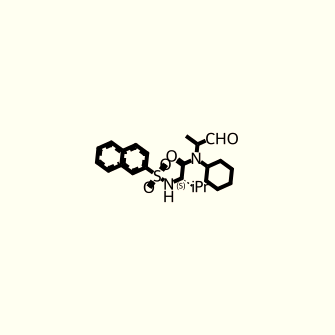 CC(C)[C@H](NS(=O)(=O)c1ccc2ccccc2c1)C(=O)N(C(C)C=O)C1CCCCC1